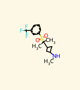 CNC1CC(C(C)(C)S(=O)(=O)c2cccc(C(F)(F)F)c2)C1